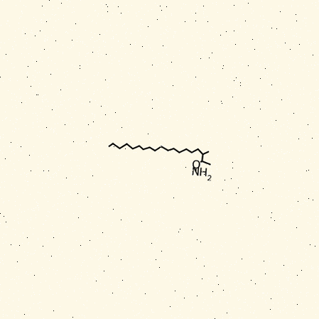 CCCCCCCCCCCCCCCCC(C)C(C)ON